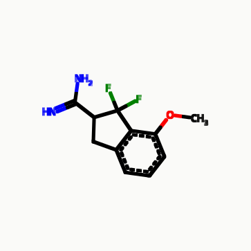 COc1cccc2c1C(F)(F)C(C(=N)N)C2